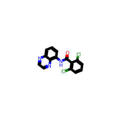 O=C(Nc1cccc2nccnc12)c1c(Cl)cccc1Cl